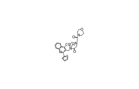 O=C(O)c1c(CN2CCN(CC(=O)N3CCOCC3)CC2=O)c(-c2cccs2)nc2ccccc12